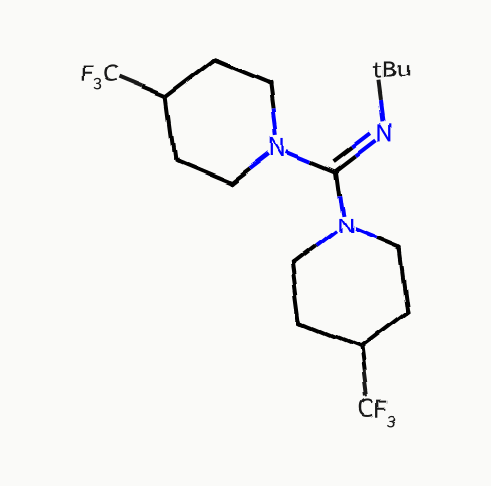 CC(C)(C)N=C(N1CCC(C(F)(F)F)CC1)N1CCC(C(F)(F)F)CC1